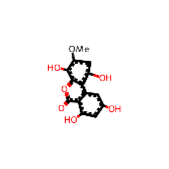 COc1cc(O)c2c(oc(=O)c3c(O)cc(O)cc32)c1O